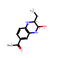 COC(=O)c1ccc2c(c1)NC(O)C(CC(F)(F)F)N2